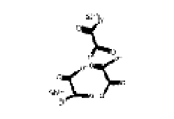 O=C([O-])C(=O)[O-].O=C([O-])C(=O)[O-].O=C([O-])C(=O)[O-].[Sb+3].[Sb+3]